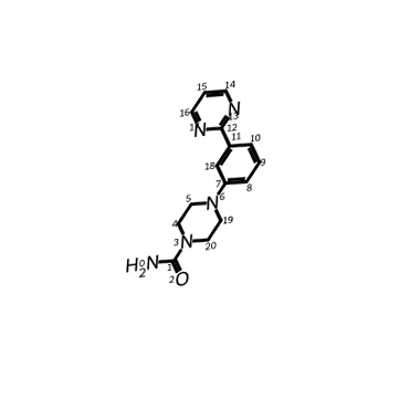 NC(=O)N1CCN(c2cccc(-c3ncccn3)c2)CC1